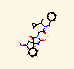 CC(C1CC1)N(Cc1ccccc1)C(=O)CN1C(=O)NC2(CC(=NO)c3ccccc32)C1=O